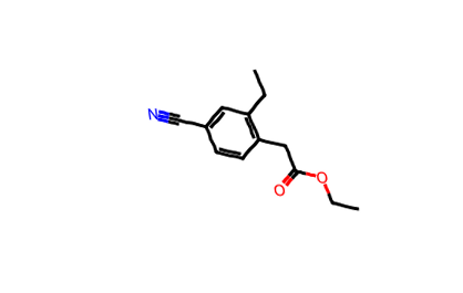 CCOC(=O)Cc1ccc(C#N)cc1CC